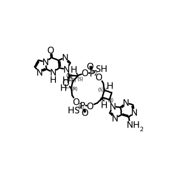 Nc1ncnc2c1ncn2[C@@H]1C[C@@H]2CO[P@@](=O)(S)O[C@@H]3[C@H](F)[C@@H](CO[P@](=O)(S)OC[C@H]21)O[C@H]3n1cnc2c(=O)n3ccnc3[nH]c21